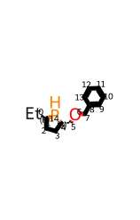 CC[C@@H]1CC[C@@H](COCc2ccccc2)P1